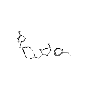 COc1ccc(N2C[C@H](CN3CCC(Oc4ccc(O)cc4)CC3)OC2=O)cc1